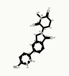 N#Cc1ccc(-c2ccc3c(c2)CN(C2CCC(=O)N(I)C2=O)C3=O)nn1